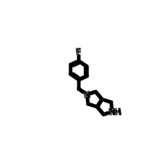 Fc1ccc(CN2CC3CNCC3C2)cc1